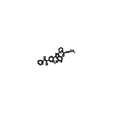 CC#CC(=O)N1CCC[C@@H]1c1nc(-c2ccc(C(=O)Nc3ccccn3)cc2)n2c(N)nccc12